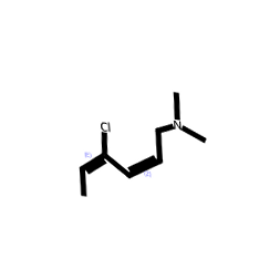 C/C=C(Cl)\C=C/CN(C)C